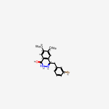 COc1cc2c(Cc3cccc(Br)c3)n[nH]c(=O)c2cc1OC